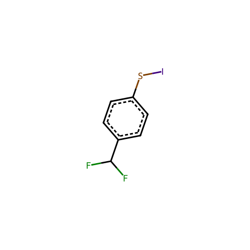 FC(F)c1ccc(SI)cc1